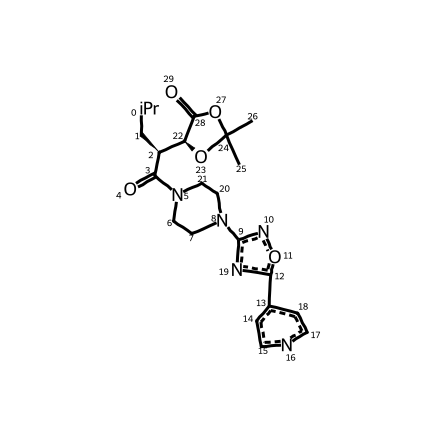 CC(C)C[C@H](C(=O)N1CCN(c2noc(-c3ccncc3)n2)CC1)[C@@H]1OC(C)(C)OC1=O